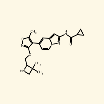 Cc1onc(OCC2NCC2(C)C)c1-c1ccn2nc(NC(=O)C3CC3)cc2c1